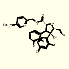 CCOC(=O)c1ccc(CNC(=O)[C@@H]2N[C@@H](CC(C)(C)C)[C@](C)(c3ccc(Cl)cc3F)C2c2cccc(Cl)c2F)nc1